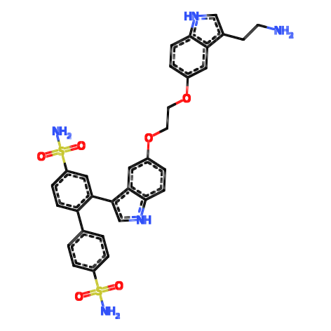 NCCc1c[nH]c2ccc(OCCOc3ccc4[nH]cc(-c5cc(S(N)(=O)=O)ccc5-c5ccc(S(N)(=O)=O)cc5)c4c3)cc12